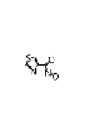 O=NC(=O)c1cscn1